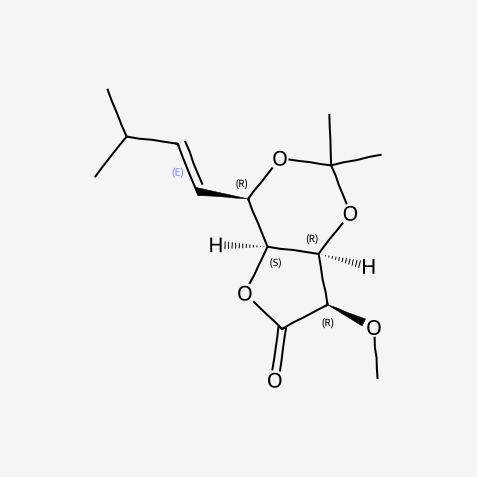 CO[C@H]1C(=O)O[C@@H]2[C@H]1OC(C)(C)O[C@@H]2/C=C/C(C)C